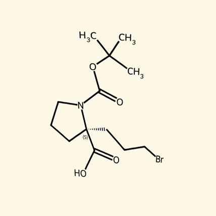 CC(C)(C)OC(=O)N1CCC[C@]1(CCCBr)C(=O)O